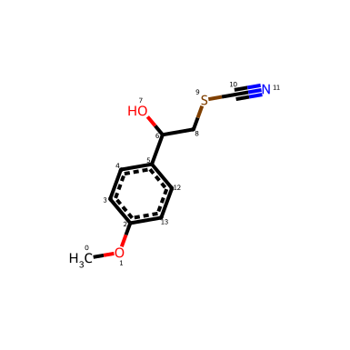 COc1ccc(C(O)CSC#N)cc1